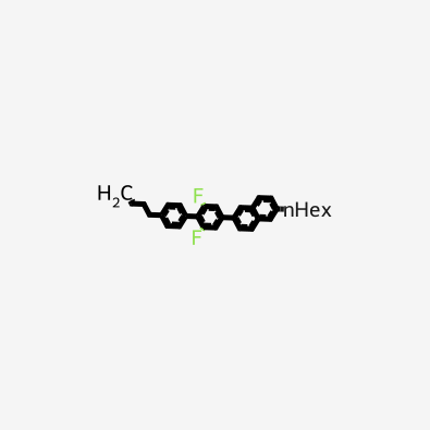 C=CCCc1ccc(-c2c(F)cc(-c3ccc4cc(CCCCCC)ccc4c3)cc2F)cc1